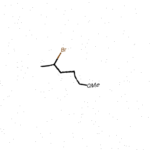 COCCCC(C)Br